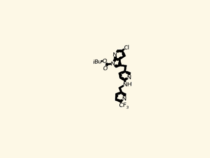 CCC(C)OC(=O)n1cc(Cc2ccc(NCc3ccc(C(F)(F)F)nc3)nc2)c2cc(Cl)cnc21